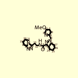 COc1ccc(Cn2nc(C(=O)NCCc3nnc4ccccn34)c3ccccc32)nc1